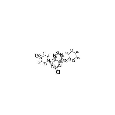 [O-][S+]1CCN(c2nc(Cl)nc3c(SC4CCCCC4)ncnc23)CC1